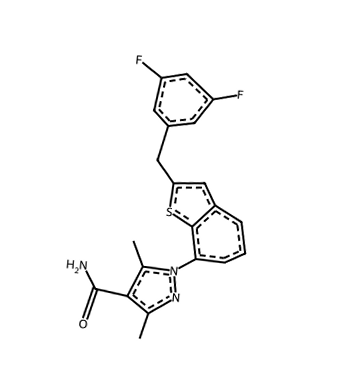 Cc1nn(-c2cccc3cc(Cc4cc(F)cc(F)c4)sc23)c(C)c1C(N)=O